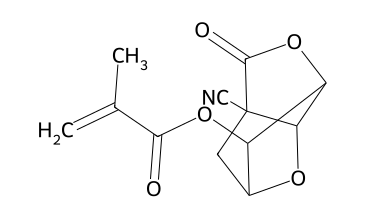 C=C(C)C(=O)OC1C2CC3(C#N)C(=O)OC1C3O2